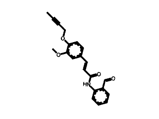 CC#CCOc1ccc(/C=C/C(=O)Nc2ccccc2C=O)cc1OC